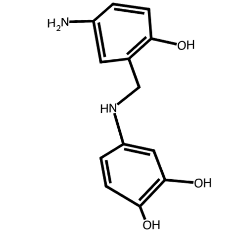 Nc1ccc(O)c(CNc2ccc(O)c(O)c2)c1